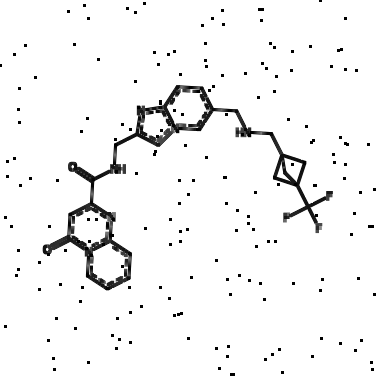 O=C(NCc1cn2cc(CNCC34CC(C(F)(F)F)(C3)C4)ccc2n1)c1cc(=O)n2ccccc2n1